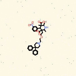 CC1NC(C)C(CCOCCN2CCC(c3ccccc3)(c3ccccc3)CC2)(C(=O)O)C(c2cccc([N+](=O)[O-])c2)C1(C)C(=O)O